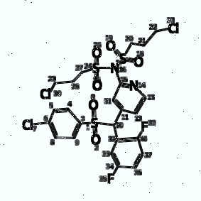 O=S(=O)(c1ccc(Cl)cc1)C(c1ccnc(N(S(=O)(=O)CCCCl)S(=O)(=O)CCCCl)c1)c1cc(F)ccc1F